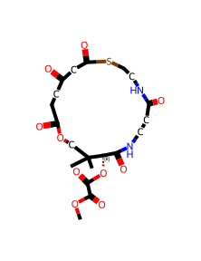 COC(=O)C(=O)O[C@H]1C(=O)NCCC(=O)NCCSC(=O)CC(=O)CCC(=O)OCC1(C)C